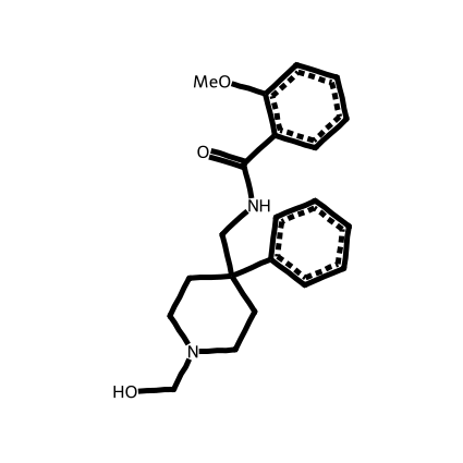 COc1ccccc1C(=O)NCC1(c2ccccc2)CCN(CO)CC1